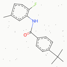 Cc1ccc(F)c(NC(=O)c2ccc(C(C)(C)C)cc2)c1